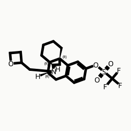 O=S(=O)(Oc1ccc2c(c1)[C@@]13CCCC[C@H]1[C@@H](C2)N(CC1CCO1)CC3)C(F)(F)F